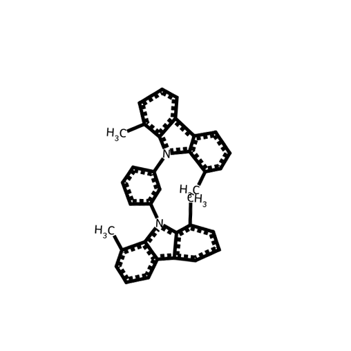 Cc1cccc2c3cccc(C)c3n(-c3cccc(-n4c5c(C)cccc5c5cccc(C)c54)c3)c12